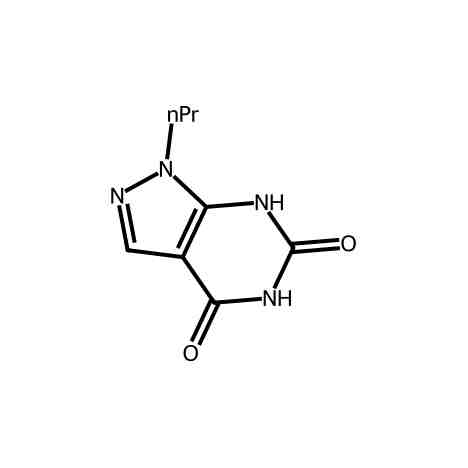 CCCn1ncc2c(=O)[nH]c(=O)[nH]c21